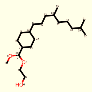 CO[C@H](OCCO)C1CCC(CCCC(C)CCCC(C)C)CC1